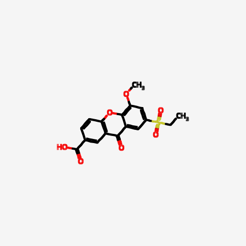 CCS(=O)(=O)c1cc(OC)c2oc3ccc(C(=O)O)cc3c(=O)c2c1